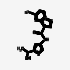 CCCc1ccn2ncc(C(=O)Nc3csc(C(C)O)c3)c2n1